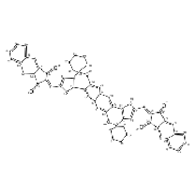 O=C1C(=Cc2cc3c(s2)C2=CC4C=C5OC6(CCCCC6)c6cc(C=C7C(=O)c8cc9ccccc9cc8C7=O)sc6C5=CC4C=C2OC32CCCCC2)C(=O)c2cc3ccccc3cc21